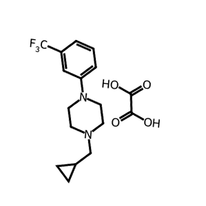 FC(F)(F)c1cccc(N2CCN(CC3CC3)CC2)c1.O=C(O)C(=O)O